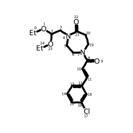 CCOC(CN1CCN(C(=O)C=Cc2cccc(Cl)c2)CCC1=O)OCC